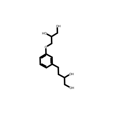 OCC(O)CCc1cccc(OCC(O)CO)c1